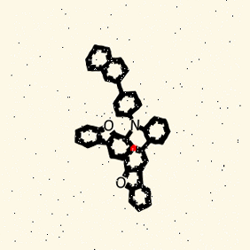 c1ccc(N(c2ccc(-c3ccc4ccccc4c3)cc2)c2cccc3c2oc2ccccc23)c(-c2ccc3oc4ccccc4c3c2)c1